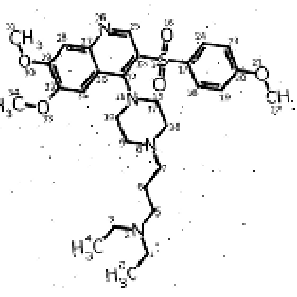 CCN(CC)CCCN1CCN(c2c(S(=O)(=O)c3ccc(OC)cc3)cnc3cc(OC)c(OC)cc23)CC1